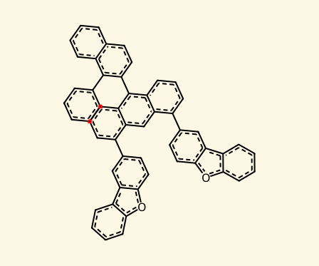 c1ccc(-c2c(-c3c4cccc(-c5ccc6oc7ccccc7c6c5)c4cc4c(-c5ccc6oc7ccccc7c6c5)cccc34)ccc3ccccc23)cc1